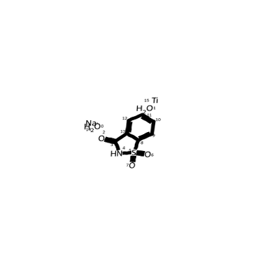 O.O.O=C1NS(=O)(=O)c2ccccc21.[Na].[Ti]